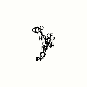 Cc1nn(C2CCN(C(C)C)CC2)cc1Nc1ncc(C(F)(F)F)c(NCCCN2C=COC=CC2=O)n1